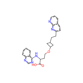 O=C(O)C(CCOC1CC(CCc2ccc3cccnc3n2)C1)Nc1ncnc2ccccc12